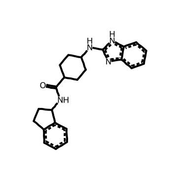 O=C(NC1CCc2ccccc21)C1CCC(Nc2nc3ccccc3[nH]2)CC1